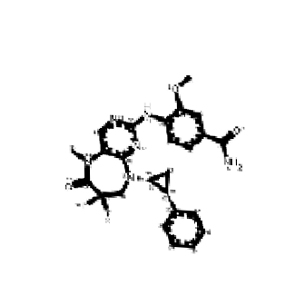 COc1cc(C(N)=O)ccc1Nc1ncc2c(n1)N([C@@H]1C[C@H]1c1ccccc1)CC(F)(F)C(=O)N2C